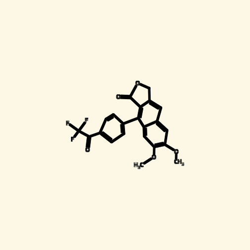 COc1cc2cc3c(c(-c4ccc(C(=O)C(F)(F)F)cc4)c2cc1OC)C(=O)OC3